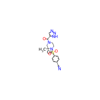 CC1(C)CN(C(=O)c2cnn[nH]2)CCN1S(=O)(=O)c1ccc(C#N)cc1